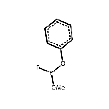 COP(F)Oc1ccccc1